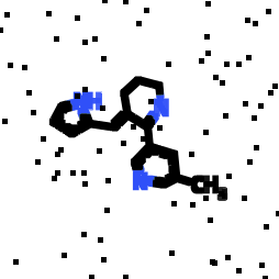 Cc1cncc(C2=NCCCC2=Cc2ccc[nH]2)c1